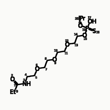 CCC(=O)NCCOCCOCCOCCOP(O)(=S)OC(C)C